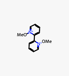 CO[n+]1ccccc1-c1cccc[n+]1OC